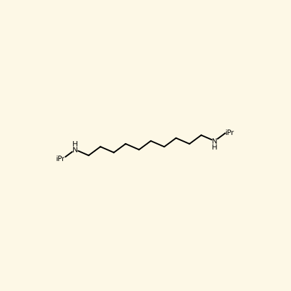 CC(C)NCCCCCCCCCCNC(C)C